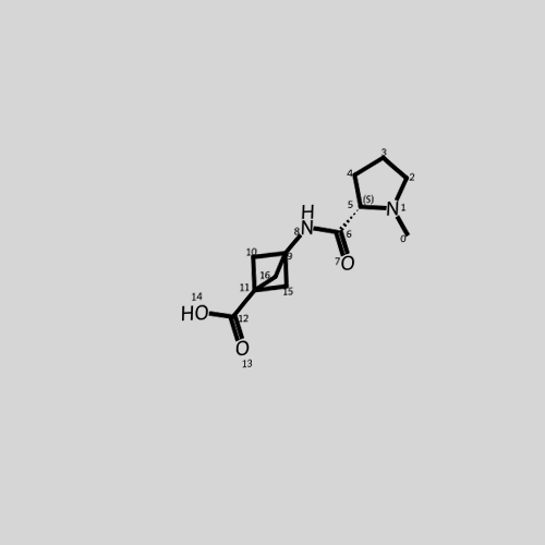 CN1CCC[C@H]1C(=O)NC12CC(C(=O)O)(C1)C2